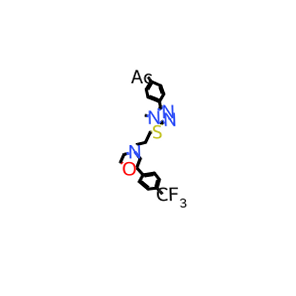 CC(=O)c1ccc(-c2nnc(SCCCN3CCOC(c4ccc(C(F)(F)F)cc4)C3)n2C)cc1